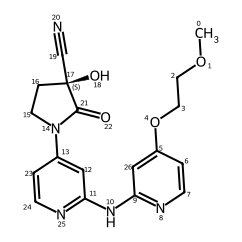 COCCOc1ccnc(Nc2cc(N3CC[C@](O)(C#N)C3=O)ccn2)c1